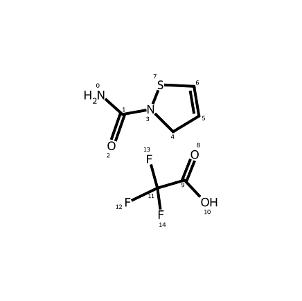 NC(=O)N1CC=CS1.O=C(O)C(F)(F)F